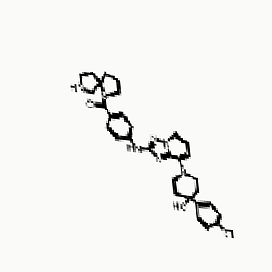 O=C(c1ccc(Nc2nc3c(N4CCC(O)(c5ccc(Cl)cc5)CC4)cccn3n2)cc1)N1CCCC12CCNC2